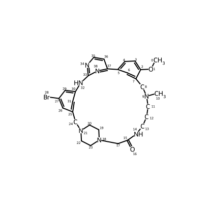 COc1ccc2cc1CN(C)CCCNC(=O)CN1CCN(CC1)Cc1cc(Br)cc(c1)Nc1nccc-2n1